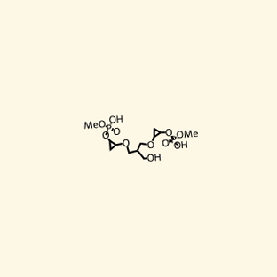 COP(=O)(O)OC1CC1OCC(CO)COC1CC1OP(=O)(O)OC